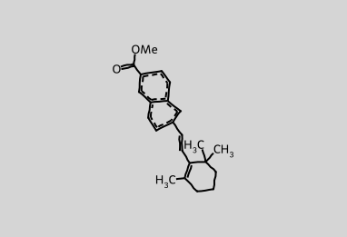 COC(=O)c1ccc2cc(/C=C/C3=C(C)CCCC3(C)C)ccc2c1